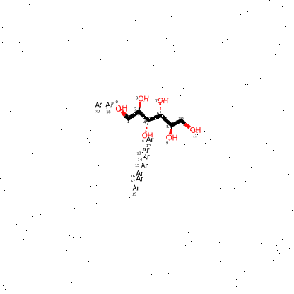 OC[C@@H](O)[C@@H](O)[C@H](O)[C@H](O)CO.[Ar].[Ar].[Ar].[Ar].[Ar].[Ar].[Ar].[Ar].[Ar]